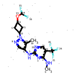 CNc1nc(Nc2cnn(C3CC(OC(F)F)C3)c2C)ncc1C(F)(F)F